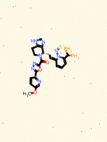 COc1ccc(-c2nnc(C(=O)N3CCc4[nH]cnc4[C@@H]3C/C=C3/C=CC=C(C(P)P)N3N=S)o2)nc1